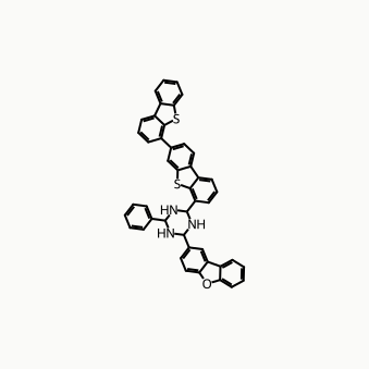 c1ccc(C2NC(c3ccc4oc5ccccc5c4c3)NC(c3cccc4c3sc3cc(-c5cccc6c5sc5ccccc56)ccc34)N2)cc1